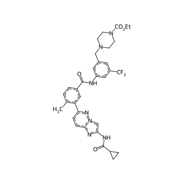 CCOC(=O)N1CCN(Cc2cc(NC(=O)c3ccc(C)c(-c4ccc5nc(NC(=O)C6CC6)cn5n4)c3)cc(C(F)(F)F)c2)CC1